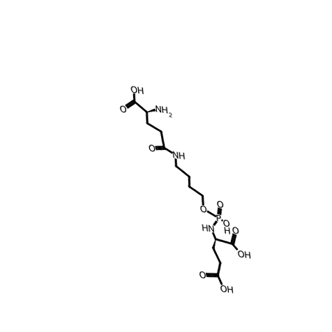 N[C@@H](CCC(=O)NCCCCOP(=O)(O)N[C@H](CCC(=O)O)C(=O)O)C(=O)O